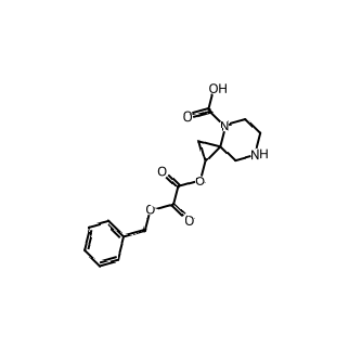 O=C(OCc1ccccc1)C(=O)OC1CC12CNCCN2C(=O)O